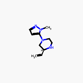 C=C[C@H]1CN(c2ccnn2C)CCN1